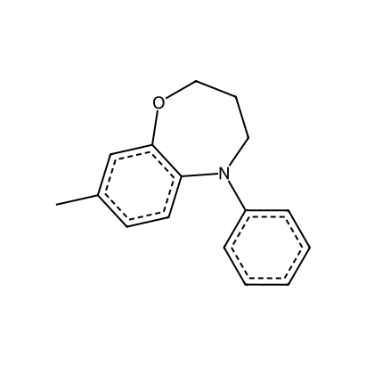 Cc1ccc2c(c1)OCCCN2c1ccccc1